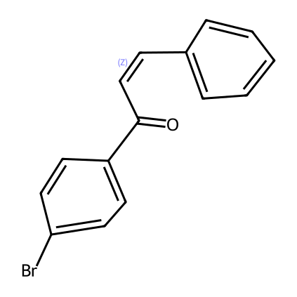 O=C(/C=C\c1ccccc1)c1ccc(Br)cc1